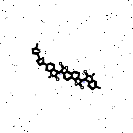 Cc1ccc2c(c1)N(C)C(=O)/C2=C1/C(=O)Oc2c1ccc1c3c(ccc21)/C(=C1\C(=O)N(C)c2cc(-c4ccc(-c5ccc(C)s5)s4)ccc21)C(=O)O3